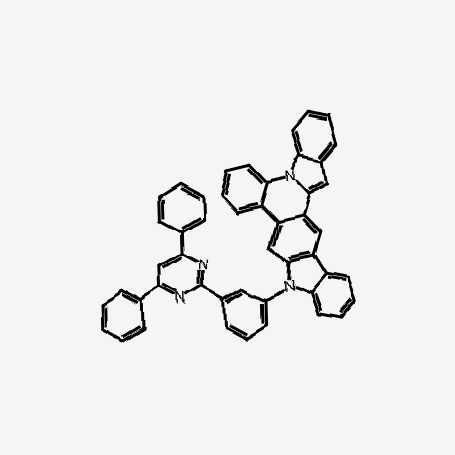 c1ccc(-c2cc(-c3ccccc3)nc(-c3cccc(-n4c5ccccc5c5cc6c(cc54)c4ccccc4n4c5ccccc5cc64)c3)n2)cc1